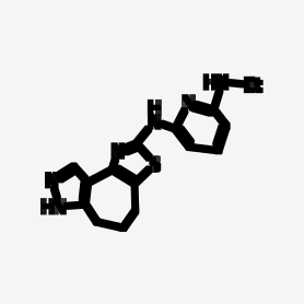 CCNc1cccc(Nc2nc3c(s2)CCCc2[nH]ncc2-3)n1